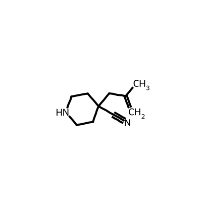 C=C(C)CC1(C#N)CCNCC1